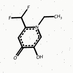 CCn1cc(O)c(=O)cc1C(F)F